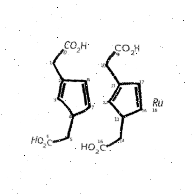 O=C(O)CC1=CC(CC(=O)O)C=C1.O=C(O)CC1=CC(CC(=O)O)C=C1.[Ru]